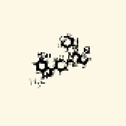 Cn1cc(C2CCN(c3nc4c(c(NC5CCOCC5)n3)[S+]([O-])CC4)CC2)c2cc(C(C)(C)C)ccc21